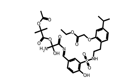 CCOC(=O)COc1cc(C(C)C)ccc1CCNS(=O)(=O)c1cc(C=NC(=O)C(N)(O)OC(=O)C(C)(C)OC(C)=O)ccc1O